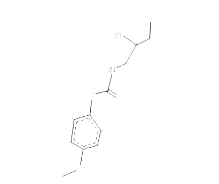 CSc1ccc(SC(=O)NCC(Br)CBr)cc1